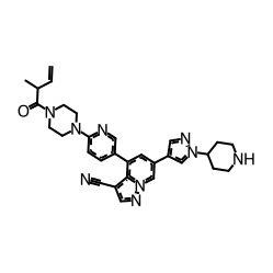 C=CC(C)C(=O)N1CCN(c2ccc(-c3cc(-c4cnn(C5CCNCC5)c4)cn4ncc(C#N)c34)cn2)CC1